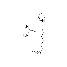 CCCCCCCCCCCCCCCCn1cccc1.NC(N)=O